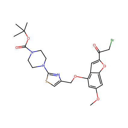 COc1cc(OCc2csc(N3CCN(C(=O)OC(C)(C)C)CC3)n2)c2cc(C(=O)CBr)oc2c1